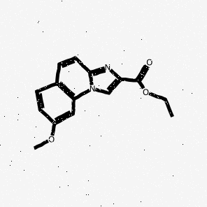 CCOC(=O)c1cn2c(ccc3ccc(OC)cc32)n1